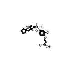 CN(C)CCOc1ccc(S(=O)(=O)Nc2nc(CC3(O)CCCC3)cs2)cc1Cl